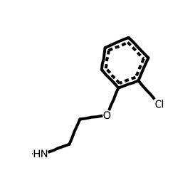 [NH]CCOc1ccccc1Cl